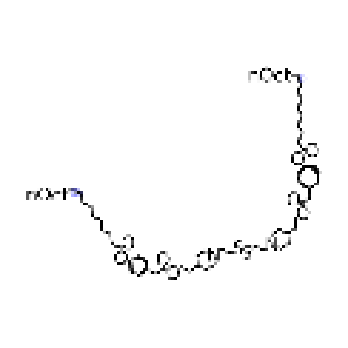 CCCCCCCC/C=C\CCCCCCCC(=O)OC1=CC=C(CC(=O)OCCC2CCN(CCSSCCN3CCC(CCOC(=O)Cc4ccc(OC(=O)CCCCCCC/C=C\CCCCCCCC)cc4)CC3)CC2)CC#C1